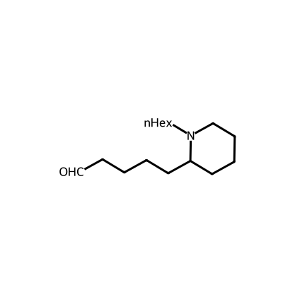 CCCCCCN1CCCCC1CCCCC=O